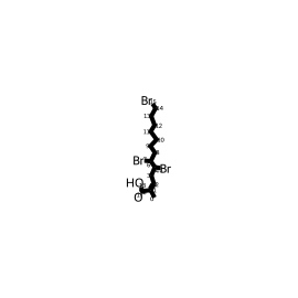 CC(=CCC(Br)C(Br)CCCCCCCBr)C(=O)O